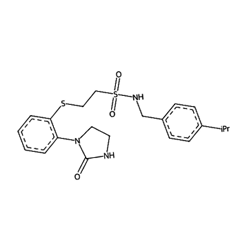 CC(C)c1ccc(CNS(=O)(=O)CCSc2ccccc2N2CCNC2=O)cc1